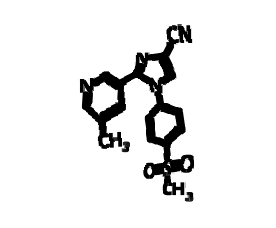 Cc1cncc(-c2nc(C#N)cn2-c2ccc(S(C)(=O)=O)cc2)c1